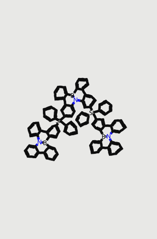 c1ccc([Si](c2ccccc2)(c2ccc3c(c2)-c2ccccc2N2B3c3ccccc3-c3ccccc32)c2ccc3c(c2)-c2ccccc2B2c4ccccc4-c4ccc([Si](c5ccccc5)(c5ccccc5)c5ccc6c(c5)-c5ccccc5N5B6c6ccccc6-c6ccccc65)cc4N23)cc1